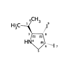 CC(C)[C@@H]1NC[C@@H](I)[C@H]1I